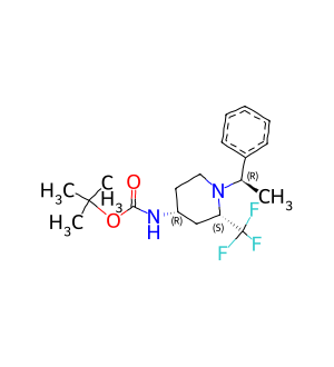 C[C@H](c1ccccc1)N1CC[C@@H](NC(=O)OC(C)(C)C)C[C@H]1C(F)(F)F